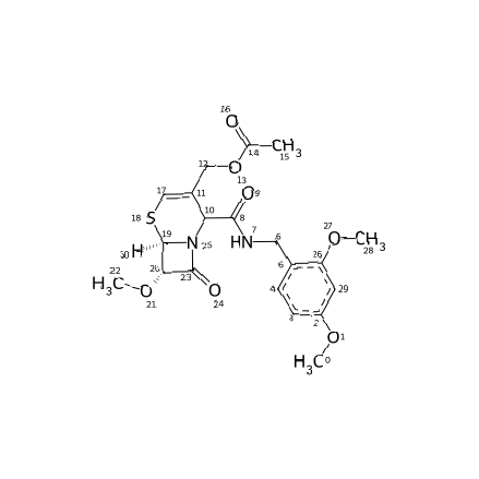 COc1ccc(CNC(=O)C2C(COC(C)=O)=CS[C@@H]3[C@@H](OC)C(=O)N23)c(OC)c1